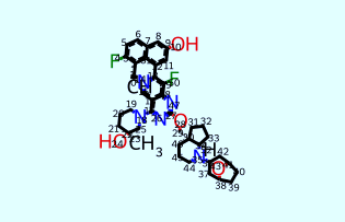 C#Cc1c(F)ccc2cc(O)cc(-c3ncc4c(N5CCC[C@@](C)(O)C5)nc(OC[C@]56CCC[C@H]5N(C5CC7CCC(C5)O7)CCC6)nc4c3F)c12